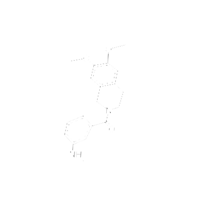 COc1cc2c(cc1OC)CN(C(=O)c1cccc(N)c1)CC2